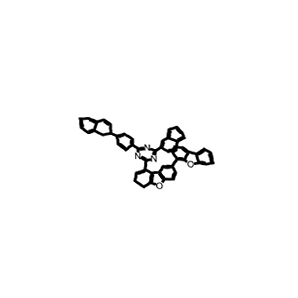 C1=CC(c2ccc(-c3nc(C4=CCCc5oc6ccc(-c7cccc8c7oc7ccccc78)cc6c54)nc(-c4ccc5ccccc5c4)n3)cc2)Cc2ccccc21